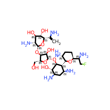 C=C(N)[C@@H]1O[C@H](O[C@H]2[C@@H](O)[C@H](O[C@@H]3[C@@H](O)[C@H](N)C[C@H](N)[C@H]3C3O[C@H]([C@@H](N)CF)CC[C@H]3N)O[C@@H]2CO)[C@H](N)[C@@H](O)[C@@H]1O